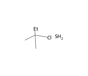 CCC(C)(C)Cl.S